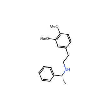 COc1ccc(CCN[C@H](C)c2ccccc2)cc1OC